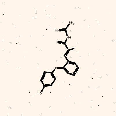 C/C(=C\c1ccccc1Oc1ccc(O)cc1)C(=O)NC(=N)N